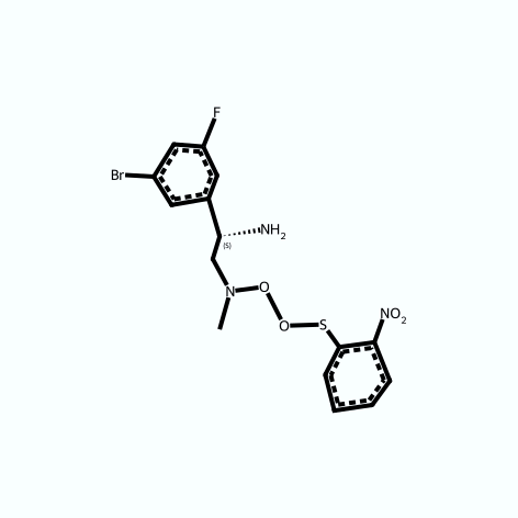 CN(C[C@@H](N)c1cc(F)cc(Br)c1)OOSc1ccccc1[N+](=O)[O-]